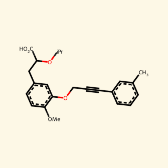 COc1ccc(CC(OC(C)C)C(=O)O)cc1OCC#Cc1cccc(C)c1